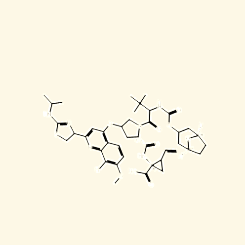 C=CC1C[C@]1(NC(=O)[C@@H]1CC(Oc2cc(C3CSC(NC(C)C)=N3)nc3c(Cl)c(OC)ccc23)CN1C(=O)C(NC(=O)OC1C[C@H]2CC[C@@H](C1)O2)C(C)(C)C)C(=O)O